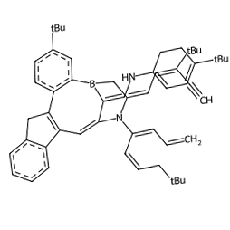 C#C/C(=C\C=C1/CB2C(=C\NC3=CC=C(C(C)(C)C)CC3)/C(=C\C3=C(Cc4ccccc43)c3ccc(C(C)(C)C)cc32)N1C(/C=C\CC(C)(C)C)=C/C=C)C(C)(C)C